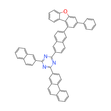 c1ccc(-c2cc(-c3ccc4cc(-c5nc(-c6ccc7ccccc7c6)nc(-c6ccc7c(ccc8ccccc87)c6)n5)ccc4c3)c3c(c2)oc2ccccc23)cc1